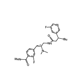 CNC(=O)c1ccc(C[C@@H](CNC(=O)CC(c2cncc(F)c2)C(C)(C)C)N(C)C)cc1F